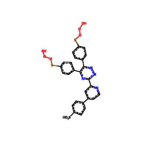 O=S(=O)(O)c1ccc(-c2ccnc(-c3nnc(-c4ccc(SOOO)cc4)c(-c4ccc(SOOO)cc4)n3)c2)cc1